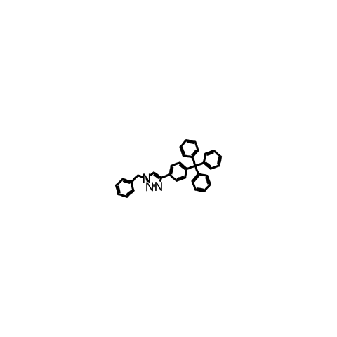 c1ccc(Cn2cc(-c3ccc(C(c4ccccc4)(c4ccccc4)c4ccccc4)cc3)nn2)cc1